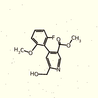 COC(=O)c1cnc(CO)cc1-c1c(F)cccc1OC